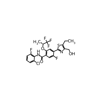 CCc1sc(-c2cc(O[C@@H](C)C(F)(F)F)c(C(=O)Nc3c(F)cccc3Cl)cc2F)nc1CO